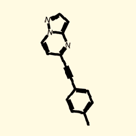 Cc1ccc(C#Cc2ccn3nccc3n2)cc1